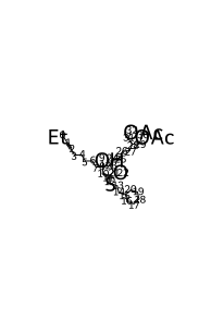 CCC#CCCCCCC1(O)C=C(SCCc2ccccc2)C(=O)/C1=C\CCCC(COC(C)=O)COC(C)=O